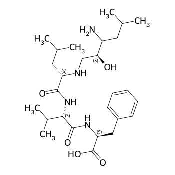 CC(C)CC(N)[C@@H](O)CN[C@@H](CC(C)C)C(=O)N[C@H](C(=O)N[C@@H](Cc1ccccc1)C(=O)O)C(C)C